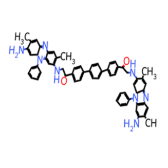 CC1=CC2=Nc3cc(C)c(N)cc3N(c3ccccc3)C2C=C1NCC(=O)c1ccc(-c2ccc(-c3ccc(C(=O)CNc4cc5c(cc4C)nc4cc(C)c(N)cc4[n+]5-c4ccccc4)cc3)cc2)cc1